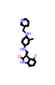 Cc1cc(NC=C2C(=O)Nc3cccc(F)c32)ccc1NCc1cccnc1